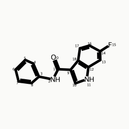 O=C(Nc1ccccc1)c1c[nH]c2cc(F)ccc12